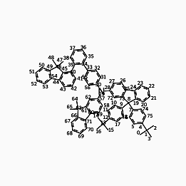 CC(C)(C)c1ccc(C2(c3ccc(C(C)(C)C)cc3)c3ccccc3-c3ccc(N(c4ccc(-c5ccccc5-c5cccc6c5C(C)(C)c5ccccc5-6)cc4)c4ccc5c(c4)C(C)(C)c4ccccc4-5)cc32)cc1